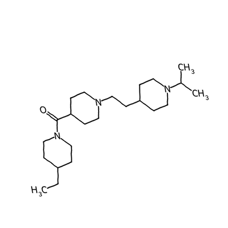 CCC1CCN(C(=O)C2CCN(CCC3CCN(C(C)C)CC3)CC2)CC1